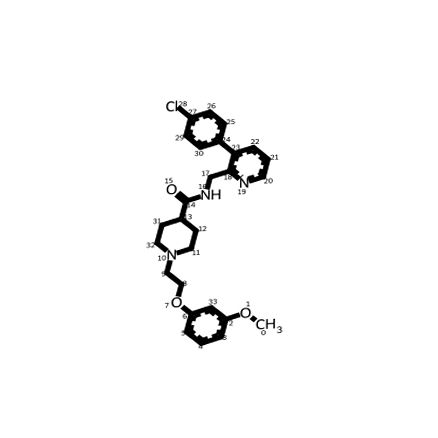 COc1cccc(OCCN2CCC(C(=O)NCc3ncccc3-c3ccc(Cl)cc3)CC2)c1